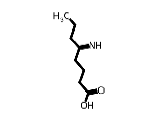 CCCC(=N)CCCC(=O)O